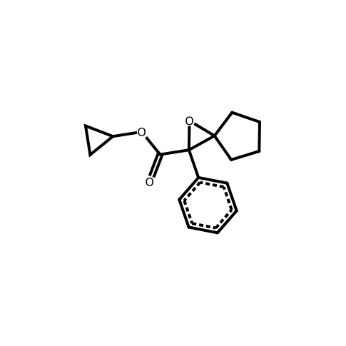 O=C(OC1CC1)C1(c2ccccc2)OC12CCCC2